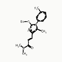 CCOc1nc(C=CC(=O)N(C)C)c(C)n1-c1cccc(C(F)(F)F)c1